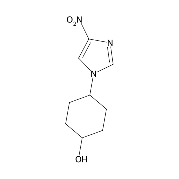 O=[N+]([O-])c1cn(C2CCC(O)CC2)cn1